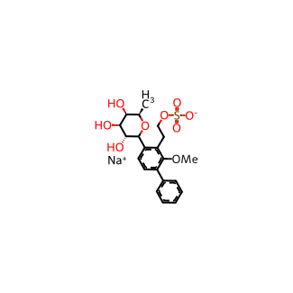 COc1c(-c2ccccc2)ccc(C2O[C@H](C)[C@H](O)[C@H](O)[C@H]2O)c1CCOS(=O)(=O)[O-].[Na+]